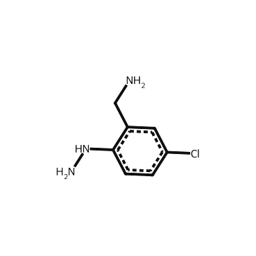 NCc1cc(Cl)ccc1NN